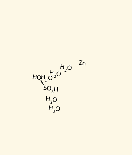 O.O.O.O.O.O=S(=O)(O)O.[Zn]